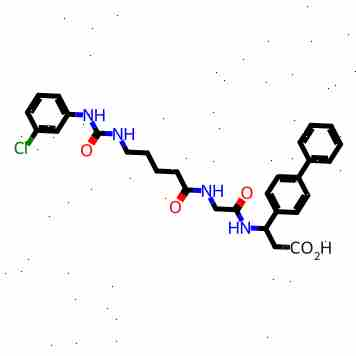 O=C(O)CC(NC(=O)CNC(=O)CCCCNC(=O)Nc1cccc(Cl)c1)c1ccc(-c2ccccc2)cc1